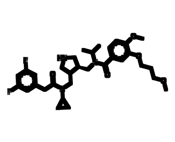 COCCCOc1cc(C(=O)N(C[C@@H]2CNCC2CN(C(=O)Cc2cc(F)cc(F)c2)C2CC2)C(C)C)ccc1OC